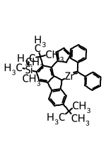 CC(C)(C)c1ccc2c(c1)[CH]([Zr]=[C](c1ccccc1)c1ccccc1)c1c-2cc([Si](C)(C)C)c(C(C)(C)C)c1C1=CC=CC1